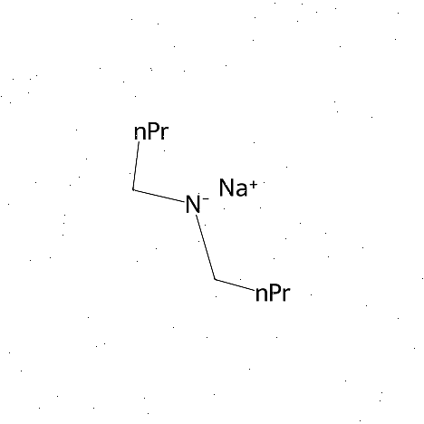 CCCC[N-]CCCC.[Na+]